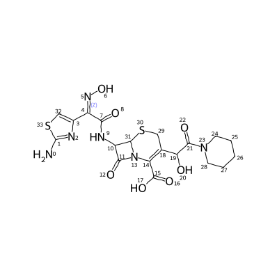 Nc1nc(/C(=N/O)C(=O)NC2C(=O)N3C(C(=O)O)=C(C(O)C(=O)N4CCCCC4)CSC23)cs1